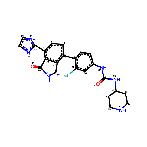 O=C(Nc1ccc(-c2ccc(-c3ncc[nH]3)c3c2CNC3=O)c(F)c1)NC1CCNCC1